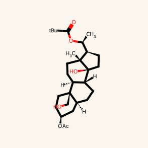 CC(=O)O[C@H]1CC[C@@]2(CO)[C@@H](CC[C@@H]3[C@@H]2CC[C@]2(C)[C@@H]([C@H](C)OC(=O)C(C)(C)C)CC[C@]32O)C1